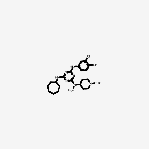 CN(c1nc(Nc2ccc(O)c(Cl)c2)nc(NC2CCCCCC2)n1)C1CCN(C=O)CC1